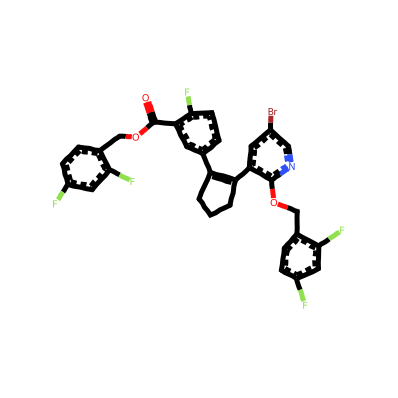 O=C(OCc1ccc(F)cc1F)c1cc(C2=C(c3cc(Br)cnc3OCc3ccc(F)cc3F)CCC2)ccc1F